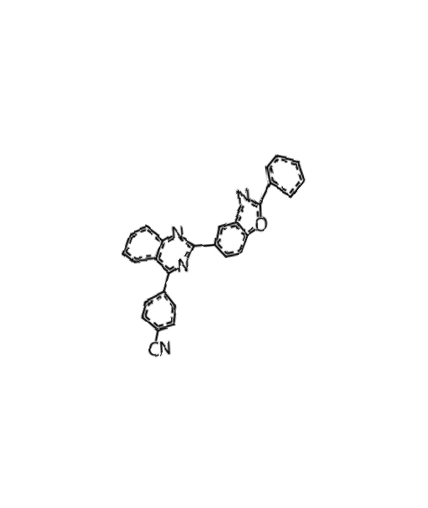 N#Cc1ccc(-c2nc(-c3ccc4oc(-c5ccccc5)nc4c3)nc3ccccc23)cc1